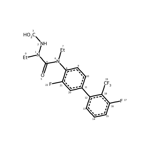 CCN(NC(=O)O)C(=O)N(CC)c1ccc(-c2cccc(F)c2C(F)(F)F)cc1F